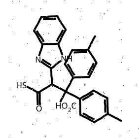 Cc1ccc(C(C(=O)O)(c2ccc(C)cc2)C(C(=O)S)c2nc3ccccc3[nH]2)cc1